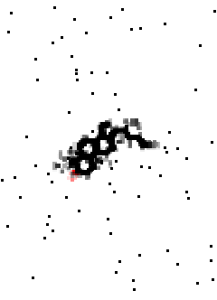 CC(C)CCC[C@@H](C)[C@H]1CC=C2C3=C(CC[C@@]21C)[C@@]1(C)CCC(=O)C(C)(C)[C@@H]1CC3